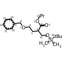 CC(C)OC(=O)C(CCOCc1ccccc1)CO[Si](C)(C)C(C)(C)C